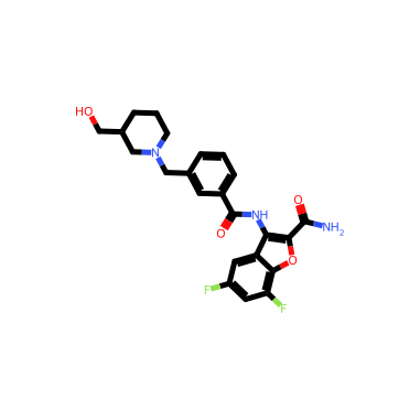 NC(=O)c1oc2c(F)cc(F)cc2c1NC(=O)c1cccc(CN2CCCC(CO)C2)c1